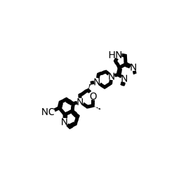 C=N/C(=C1/CNC/C1=N/C)N1CCN(C[C@H]2CN(c3ccc(C#N)c4ncccc34)C[C@@H](C)O2)CC1